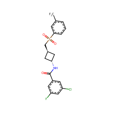 O=C(N[C@H]1C[C@H](CS(=O)(=O)c2cccc(C(F)(F)F)c2)C1)c1cc(F)cc(Cl)c1